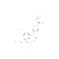 C=CCN1C2CCC2C1(C)C1CCCN1C(C1=CCC(C(=O)NN2CCCCCC2)C=C1)C1=CC(O)=CCC1